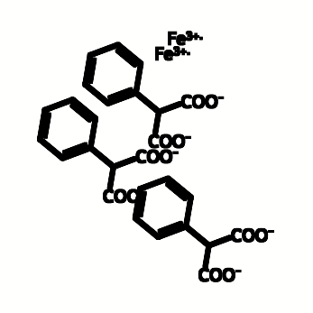 O=C([O-])C(C(=O)[O-])c1ccccc1.O=C([O-])C(C(=O)[O-])c1ccccc1.O=C([O-])C(C(=O)[O-])c1ccccc1.[Fe+3].[Fe+3]